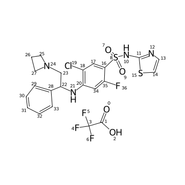 O=C(O)C(F)(F)F.O=S(=O)(Nc1nccs1)c1cc(Cl)c(NC(CN2CCC2)c2ccccc2)cc1F